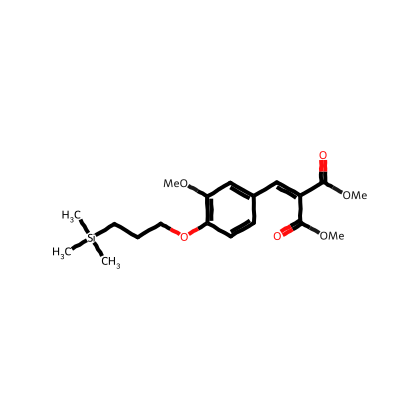 COC(=O)C(=Cc1ccc(OCCC[Si](C)(C)C)c(OC)c1)C(=O)OC